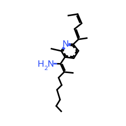 C/C=C\C=C(/C)c1ccc(/C(N)=C(\C)CCCCCC)c(C)n1